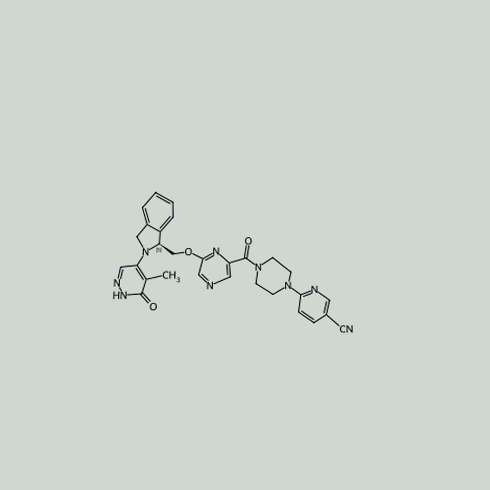 Cc1c(N2Cc3ccccc3[C@H]2COc2cncc(C(=O)N3CCN(c4ccc(C#N)cn4)CC3)n2)cn[nH]c1=O